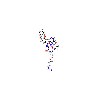 CC(NC(=O)[C@@H]1CC(COCCCCN)CN1C(=O)CNC(=O)c1ccc2c(c1)Oc1ccccc1S2)c1cc2cnccc2[nH]1